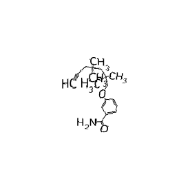 C#CCC(C)(C)CC(C)(C)COc1cccc(C(N)=O)c1